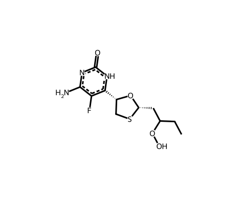 CCC(C[C@H]1O[C@@H](c2[nH]c(=O)nc(N)c2F)CS1)OO